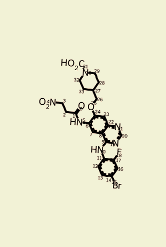 O=C(CC[N+](=O)[O-])Nc1cc2c(Nc3ccc(Br)cc3F)ncnc2cc1OCC1CCN(C(=O)O)CC1